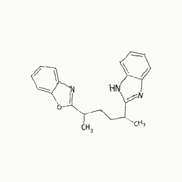 CC(CCC(C)c1nc2ccccc2o1)c1nc2ccccc2[nH]1